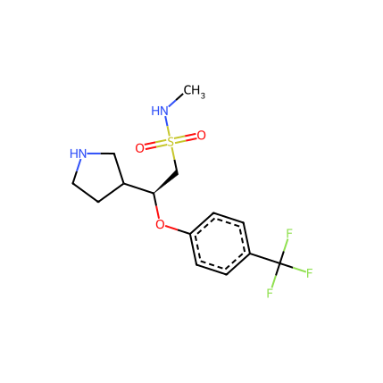 CNS(=O)(=O)C[C@@H](Oc1ccc(C(F)(F)F)cc1)C1CCNC1